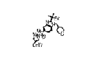 CCC(C)(C)c1nc2cc(S(=O)(=O)n3cc(C=O)cn3)ccc2n1CC1CCOCC1